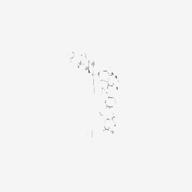 Cc1ccc(Oc2ccc(Nc3ncnc4ccc(NC5=NCC6(CCOCC6)O5)cc34)cc2C)cn1